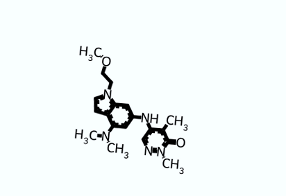 COCCn1ccc2c(N(C)C)cc(Nc3cnn(C)c(=O)c3C)cc21